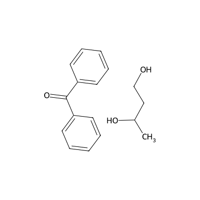 CC(O)CCO.O=C(c1ccccc1)c1ccccc1